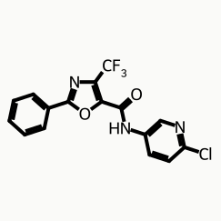 O=C(Nc1ccc(Cl)nc1)c1oc(-c2ccccc2)nc1C(F)(F)F